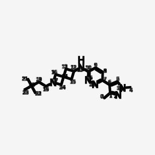 Cc1nn(C)cc1-c1ccc(NC2CC3(C2)CN(CCC(C)(C)C)C3)nn1